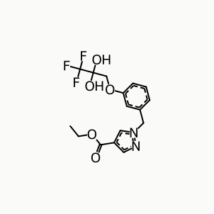 CCOC(=O)c1cnn(Cc2cccc(OCC(O)(O)C(F)(F)F)c2)c1